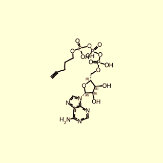 C#CCCCOP(=O)(O)OP(=O)(O)OP(=O)(O)OC[C@H]1O[C@@H](n2cnc3c(N)ncnc32)[C@H](O)[C@@H]1O